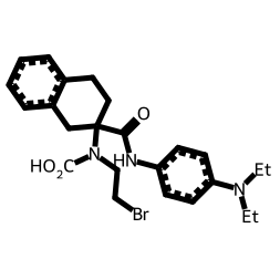 CCN(CC)c1ccc(NC(=O)C2(N(CCBr)C(=O)O)CCc3ccccc3C2)cc1